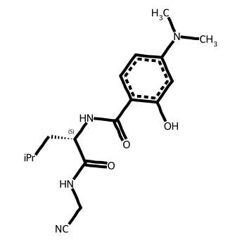 CC(C)C[C@H](NC(=O)c1ccc(N(C)C)cc1O)C(=O)NCC#N